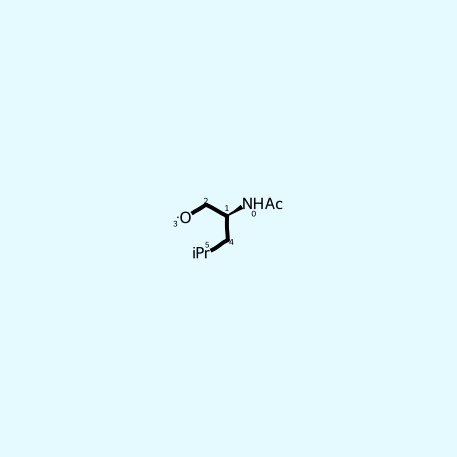 CC(=O)N[C@H](C[O])CC(C)C